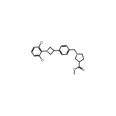 COC(=O)C1CCN(Cc2ccc(C3CN(c4c(Cl)cccc4Cl)C3)cc2)C1